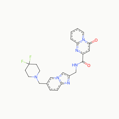 O=C(NCc1cn2cc(CN3CCC(F)(F)CC3)ccc2n1)c1cc(=O)n2ccccc2n1